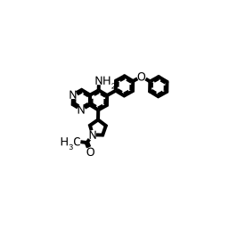 CC(=O)N1CCC(c2cc(-c3ccc(Oc4ccccc4)cc3)c(N)c3cncnc23)C1